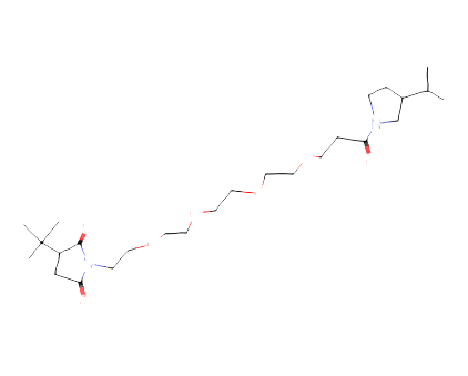 CC(C)C1CCN(C(=O)CCOCCOCCOCCOCCN2C(=O)CC(C(C)(C)C)C2=O)C1